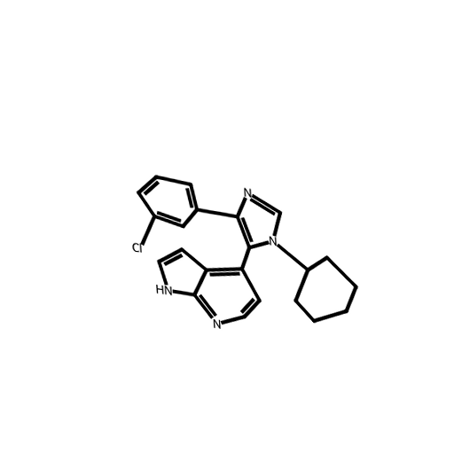 Clc1cccc(-c2ncn(C3CCCCC3)c2-c2ccnc3[nH]ccc23)c1